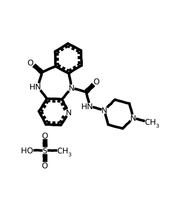 CN1CCN(NC(=O)N2c3ccccc3C(=O)Nc3cccnc32)CC1.CS(=O)(=O)O